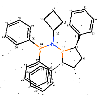 c1ccc([C@H]2CC[C@H](c3ccccc3)P2N(C2CCC2)P(c2ccccc2)c2ccccc2)cc1